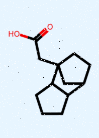 O=C(O)[CH]C12CCC(C1)C1CCCC12